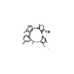 Cc1ccc2c(c1)C(C)Oc1cc(cnc1N)-c1c(n[nH]c1C#N)Cc1cnn(C)c1-2